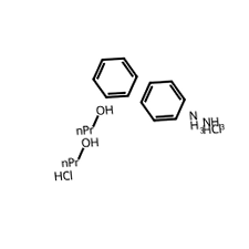 CCCO.CCCO.Cl.Cl.N.N.c1ccccc1.c1ccccc1